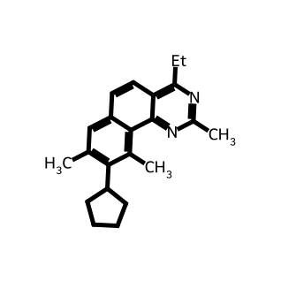 CCc1nc(C)nc2c1ccc1cc(C)c(C3CCCC3)c(C)c12